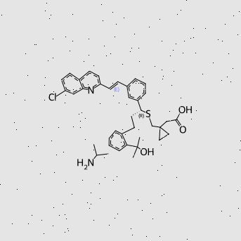 CC(C)(O)c1ccccc1CC[C@@H](SCC1(CC(=O)O)CC1)c1cccc(/C=C/c2ccc3ccc(Cl)cc3n2)c1.CC(C)N